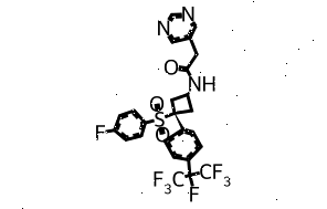 O=C(Cc1cncnc1)N[C@H]1C[C@@](c2ccc(C(F)(C(F)(F)F)C(F)(F)F)cc2)(S(=O)(=O)c2ccc(F)cc2)C1